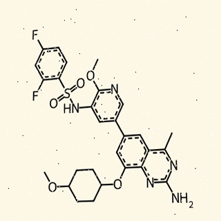 COc1ncc(-c2cc(OC3CCC(OC)CC3)c3nc(N)nc(C)c3c2)cc1NS(=O)(=O)c1ccc(F)cc1F